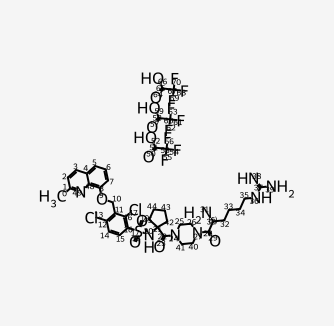 Cc1ccc2cccc(OCc3c(Cl)ccc(S(=O)(=O)NC4(C(=O)N5CCN(C(=O)[C@@H](N)CCCCNC(=N)N)CC5)CCCC4)c3Cl)c2n1.O=C(O)C(F)(F)F.O=C(O)C(F)(F)F.O=C(O)C(F)(F)F